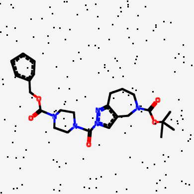 CC(C)(C)OC(=O)N1CCCc2nn(C(=O)N3CCN(C(=O)OCc4ccccc4)CC3)cc2C1